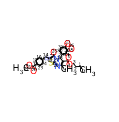 CCCCOC(=O)C1=C(C)N=c2s/c(=C\c3ccc(C(=O)OC)cc3)c(=O)n2C1c1ccc2c(c1)OCO2